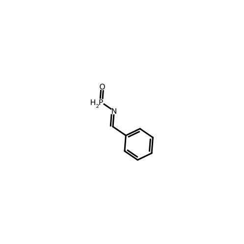 O=[PH2]N=Cc1ccccc1